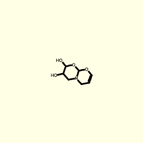 OC1CN2CC=COC2OC1O